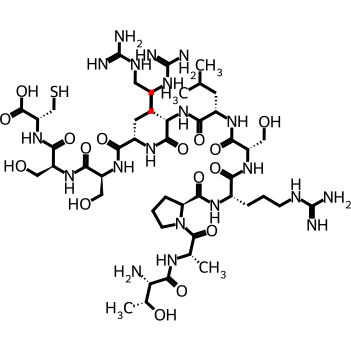 CC(C)C[C@H](NC(=O)[C@H](CO)NC(=O)[C@H](CCCNC(=N)N)NC(=O)[C@@H]1CCCN1C(=O)[C@H](C)NC(=O)[C@@H](N)[C@@H](C)O)C(=O)N[C@@H](CCCNC(=N)N)C(=O)N[C@@H](CCCNC(=N)N)C(=O)N[C@@H](CO)C(=O)N[C@@H](CO)C(=O)N[C@@H](CS)C(=O)O